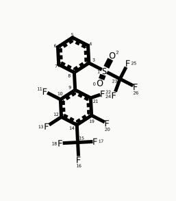 O=S(=O)(c1ccc[c]c1-c1c(F)c(F)c(C(F)(F)F)c(F)c1F)C(F)(F)F